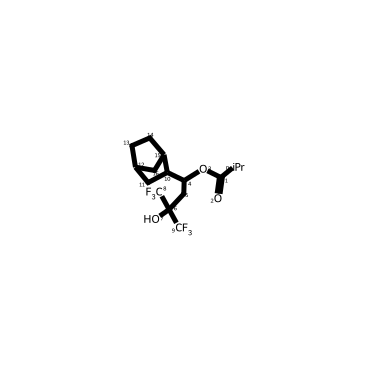 CC(C)C(=O)OC(CC(O)(C(F)(F)F)C(F)(F)F)C1CC2CCC1C2